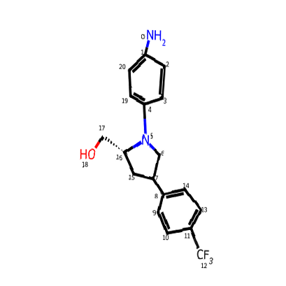 Nc1ccc(N2CC(c3ccc(C(F)(F)F)cc3)C[C@@H]2CO)cc1